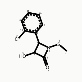 CSN1C(=O)C(O)C1c1ccccc1Cl